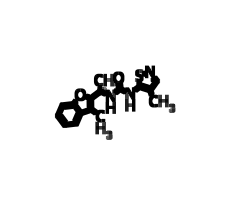 Cc1cnsc1NC(=O)N[C@H](C)c1oc2ccccc2c1C